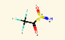 N=[SH](=O)C(=O)C(F)(F)F